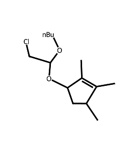 CCCCOC(CCl)OC1CC(C)C(C)=C1C